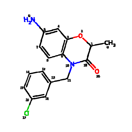 CC1Oc2cc(N)ccc2N(Cc2cccc(Cl)c2)C1=O